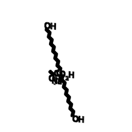 CC(O)C(=O)O.OCCCCCCCCCCCCOCCCCCCCCCCCCO.[Na]